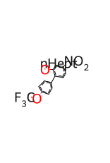 CCCCCCCOc1cc([N+](=O)[O-])ccc1-c1ccc(OC(F)(F)F)cc1